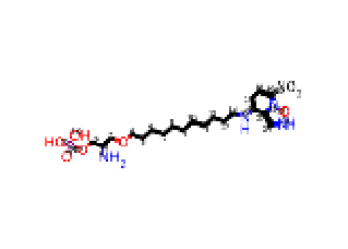 N[C@H](COCCCCCCCCCCCNC1=CC=C([N+](=O)[O-])N2ONC=C12)COP(=O)(O)O